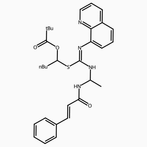 CCCCC(OC(=O)C(C)(C)C)S/C(=N/c1cccc2cccnc12)NC(C)NC(=O)/C=C/c1ccccc1